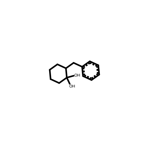 OC1(O)CCCCC1Cc1ccccc1